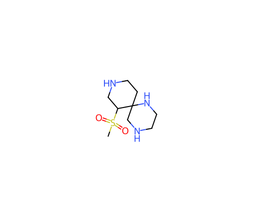 CS(=O)(=O)C1CNCCC12CNCCN2